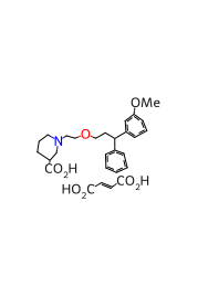 COc1cccc(C(CCOCCN2CCCC(C(=O)O)C2)c2ccccc2)c1.O=C(O)C=CC(=O)O